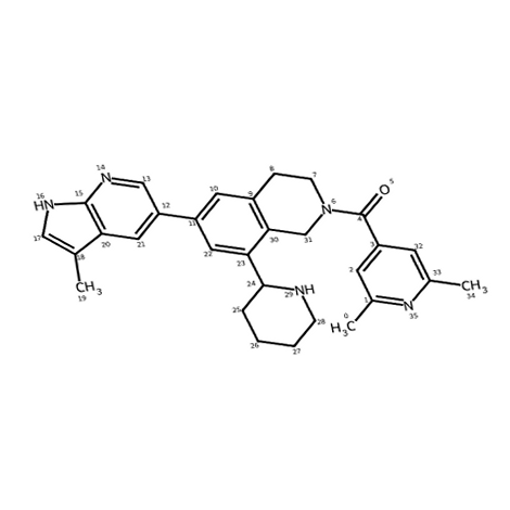 Cc1cc(C(=O)N2CCc3cc(-c4cnc5[nH]cc(C)c5c4)cc(C4CCCCN4)c3C2)cc(C)n1